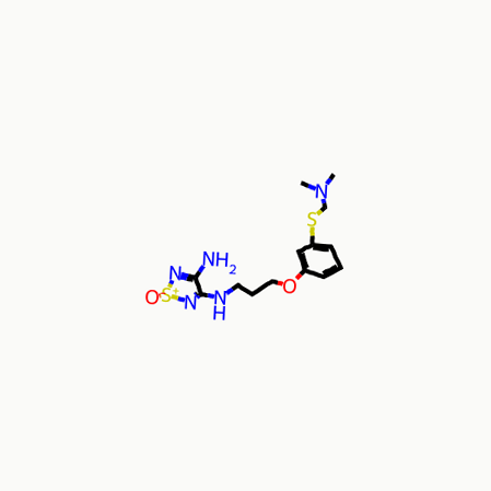 CN(C)CSc1cccc(OCCCNc2n[s+]([O-])nc2N)c1